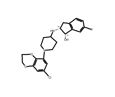 O[C@H]1c2cc(F)ccc2C[C@H]1NC1CCN(c2cc(Cl)cc3c2OCCO3)CC1